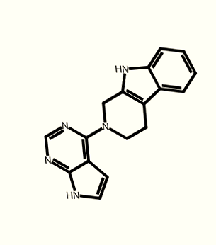 c1ccc2c3c([nH]c2c1)CN(c1ncnc2[nH]ccc12)CC3